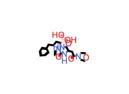 O=C(NC(CCCc1ccccc1)B(O)O)C(CC(=O)N1CCOCC1)Nc1ncco1